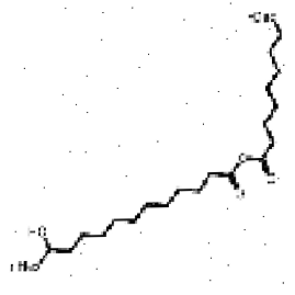 CCCCCCCCCCCCCCCCCC(=O)OC(=O)CCCCCCCCCCC(O)CCCCCC